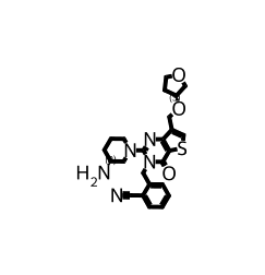 N#Cc1ccccc1Cn1c(N2CCC[C@@H](N)C2)nc2c(CO[C@H]3CCOC3)csc2c1=O